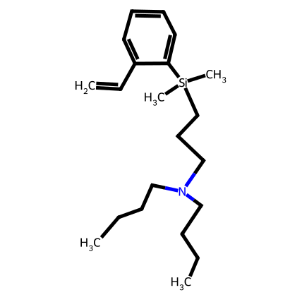 C=Cc1ccccc1[Si](C)(C)CCCN(CCCC)CCCC